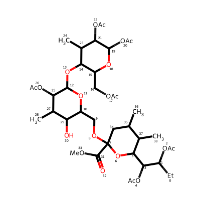 CCC(OC(C)=O)C(OC(C)=O)C1OC(OCC2OC(OC3C(COC(C)=O)OC(OC(C)=O)C(OC(C)=O)C3C)C(OC(C)=O)C(C)C2O)(C(=O)OC)CC(C)C1C